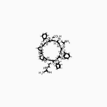 N=C(N)NCCC[C@@H]1NC(=O)[C@@H]2CCCN2C(=O)[C@H]2CCCN2C(=O)[C@H](Cc2ccccc2)NC(=O)[C@H](CC(=O)O)NC(=O)[C@H](CC(N)=O)NC(=O)[C@H](Cc2ccccc2)NC(=O)[C@H](Cc2ccccc2)NC1=O